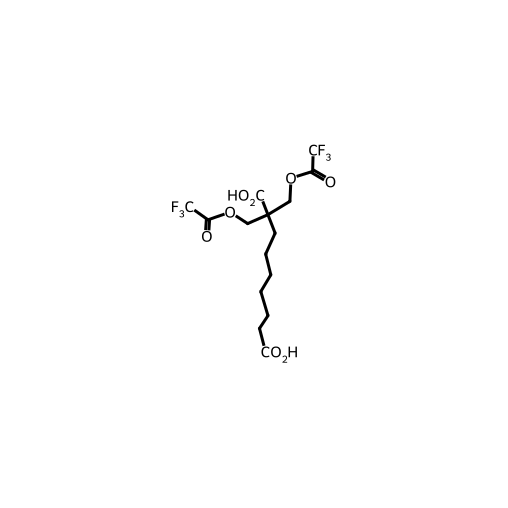 O=C(O)CCCCCCC(COC(=O)C(F)(F)F)(COC(=O)C(F)(F)F)C(=O)O